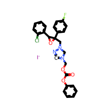 O=C(OCN1[C+]=NN(CC2(c3ccc(F)cc3)OC2c2ccccc2Cl)C1)Oc1ccccc1.[I-]